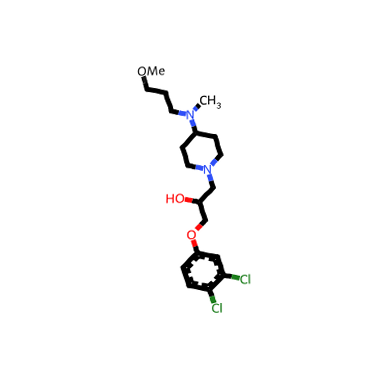 COCCCN(C)C1CCN(CC(O)COc2ccc(Cl)c(Cl)c2)CC1